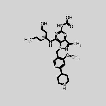 CCC[C@@H](CCO)Nc1nc(NC(=O)O)nc2c(C)nn(Cc3cnc(C4CCNCC4)cc3OC)c12